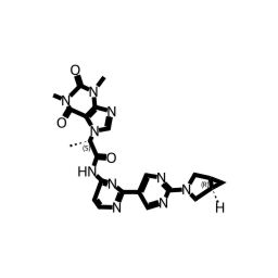 C[C@@H](C(=O)Nc1ccnc(-c2cnc(N3CC4C[C@H]4C3)nc2)n1)n1cnc2c1c(=O)n(C)c(=O)n2C